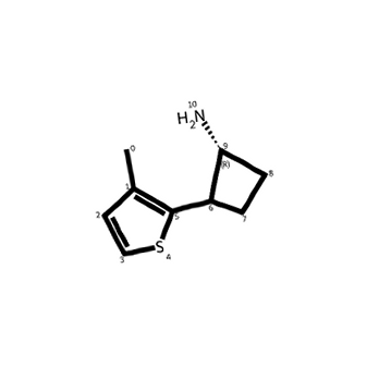 Cc1ccsc1C1CC[C@H]1N